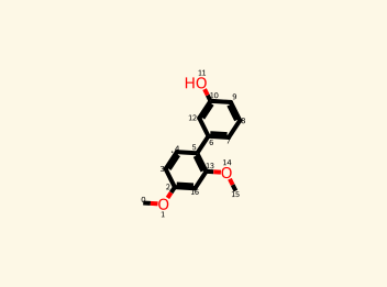 COc1c[c]c(-c2cccc(O)c2)c(OC)c1